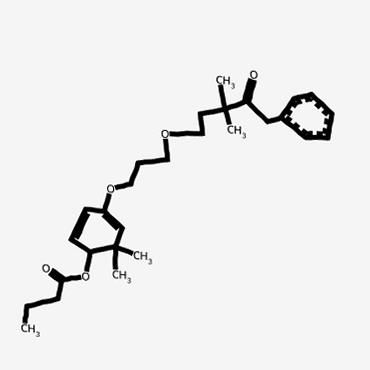 CCCC(=O)OC1C=CC(OCCCOCCC(C)(C)C(=O)Cc2ccccc2)=CC1(C)C